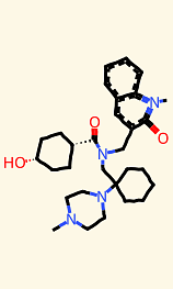 CN1CCN(C2(CN(Cc3cc4ccccc4n(C)c3=O)C(=O)[C@H]3CC[C@@H](O)CC3)CCCCC2)CC1